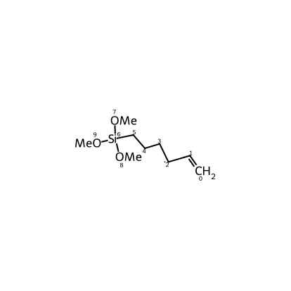 C=C[CH]CCC[Si](OC)(OC)OC